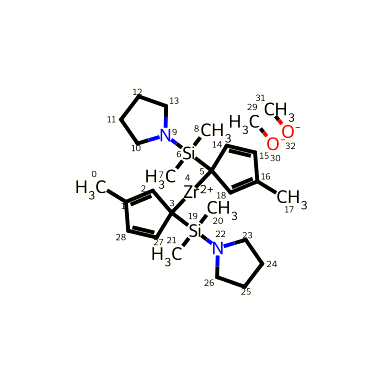 CC1=C[C]([Zr+2][C]2([Si](C)(C)N3CCCC3)C=CC(C)=C2)([Si](C)(C)N2CCCC2)C=C1.C[O-].C[O-]